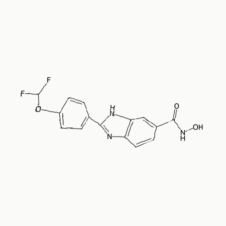 O=C(NO)c1ccc2nc(-c3ccc(OC(F)F)cc3)[nH]c2c1